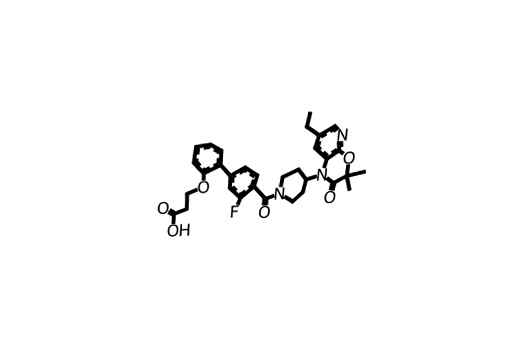 CCc1cnc2c(c1)N(C1CCN(C(=O)c3ccc(-c4ccccc4OCCC(=O)O)cc3F)CC1)C(=O)C(C)(C)O2